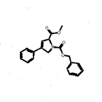 COC(=O)C1C=C(c2ccccc2)CN1C(=O)OCc1ccccc1